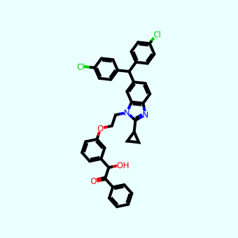 O=C(c1ccccc1)C(O)c1cccc(OCCn2c(C3CC3)nc3ccc(C(c4ccc(Cl)cc4)c4ccc(Cl)cc4)cc32)c1